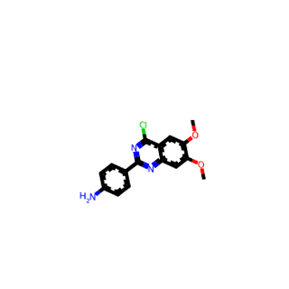 COc1cc2nc(-c3ccc(N)cc3)nc(Cl)c2cc1OC